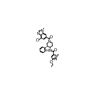 CCOc1cc(C(=O)N[C@@H]2CCN(C(=O)c3cc(Cl)c4ncn(C)c4c3)C[C@@H]2c2ccccc2)n(C)n1